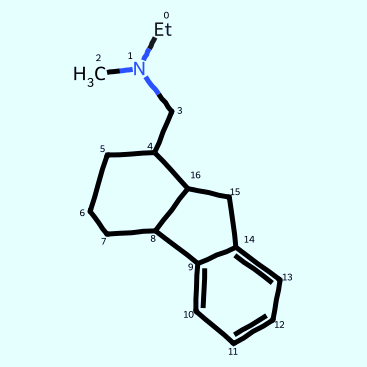 CCN(C)CC1CCCC2c3ccccc3CC12